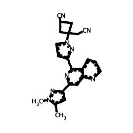 Cc1cc(-c2cc3ncccc3c(-c3ccn(C4(CC#N)CC(C#N)C4)n3)n2)nn1C